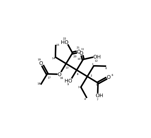 CCC(CC)(C(=O)O)C(O)(C(=O)O)C(CC)(OC(C)=O)C(=O)O